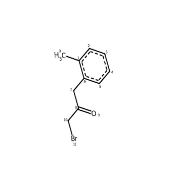 Cc1ccccc1CC(=O)CBr